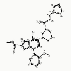 COC(=O)c1cc2c(-c3cnccc3OC)cc([C@H]3CCCN(C(=O)CCn4ccnn4)C3)c(F)c2[nH]1